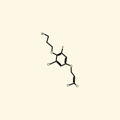 Fc1cc(OCC=C(Cl)Cl)cc(Cl)c1OCCCBr